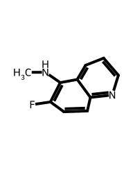 CNc1c(F)ccc2ncccc12